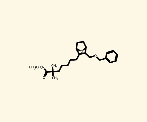 CN(O)C(=O)C(C)(C)CCCCCC1C2CCC(O2)C1COCc1ccccc1